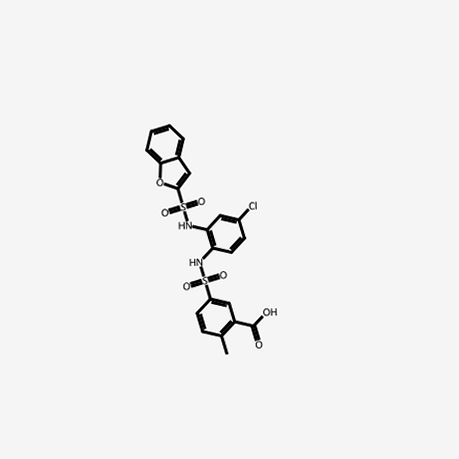 Cc1ccc(S(=O)(=O)Nc2ccc(Cl)cc2NS(=O)(=O)c2cc3ccccc3o2)cc1C(=O)O